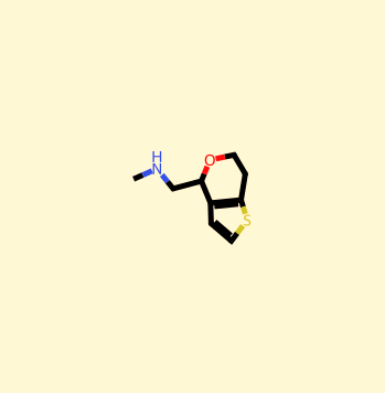 CNCC1OCCc2sccc21